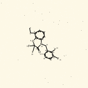 CCc1cccc2c1OC(F)(F)C(=O)N2Cc1cccc(F)c1F